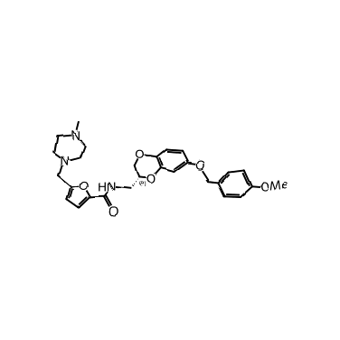 COc1ccc(COc2ccc3c(c2)O[C@H](CNC(=O)c2ccc(CN4CCN(C)CC4)o2)CO3)cc1